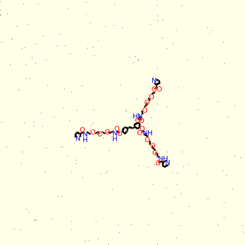 O=C(NCCOCCOCCOCCNC(=O)c1cccnc1)Oc1ccc(/C=C/c2cc(OC(=O)NCCOCCOCCOCCNC(=O)c3cccnc3)cc(OC(=O)NCCOCCOCCOCCOC(=O)c3cccnc3)c2)cc1